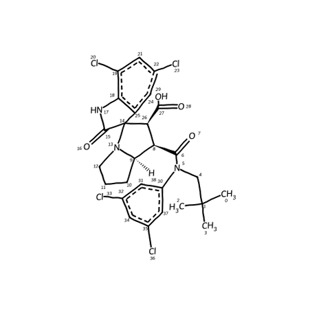 CC(C)(C)CN(C(=O)[C@H]1[C@H]2CCCN2C2(C(=O)Nc3c(Cl)cc(Cl)cc32)[C@H]1C(=O)O)c1cc(Cl)cc(Cl)c1